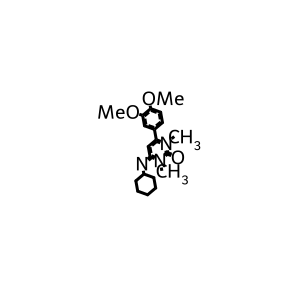 COc1ccc(-c2c/c(=N/C3CCCCC3)n(C)c(=O)n2C)cc1OC